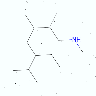 CCC(CC(C)C(C)CNC)C(C)C